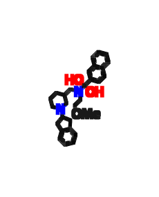 COCCN(CC1CCCN(C2Cc3ccccc3C2)C1)C(O)(O)c1ccc2ccccc2c1